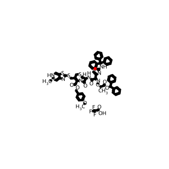 COc1ccc(COC(=O)C2=C(CSc3nc4c(s3)=CNN(C)C=4)CS[C@H]3C(NC(=O)/C(=N\O[C@@H](C)C(=O)OC(c4ccccc4)c4ccccc4)c4csc(NC(c5ccccc5)(c5ccccc5)c5ccccc5)n4)C(=O)N23)cc1.O=C(O)C(F)(F)F